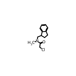 CN(CC1CCc2ccccc21)C(=O)CCl